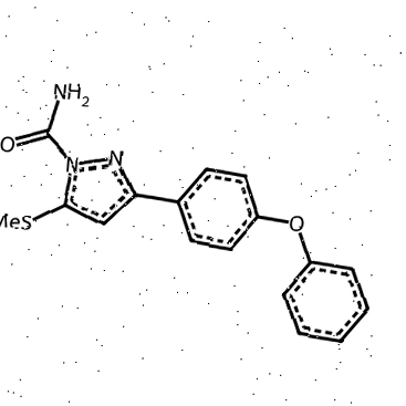 CSc1cc(-c2ccc(Oc3ccccc3)cc2)nn1C(N)=O